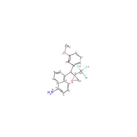 COc1cccc(C(c2cccc3c(N)cccc23)C2(C(F)(F)F)CO2)c1